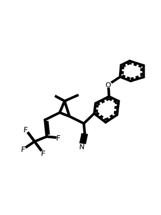 CC1(C)C(C=C(F)C(F)(F)F)C1C(C#N)c1cccc(Oc2ccccc2)c1